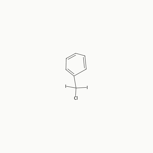 ClC(I)(I)c1ccccc1